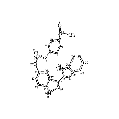 O=[N+]([O-])c1ccc(O[PH](=O)Oc2ccc3[nH]nc(-c4cc5ccccc5[nH]4)c3c2)cc1